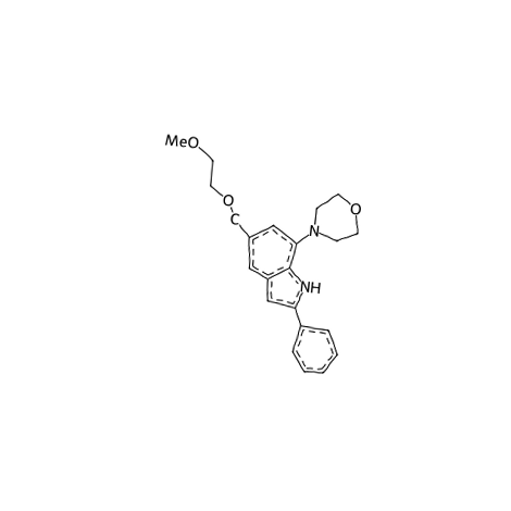 COCCOCc1cc(N2CCOCC2)c2[nH]c(-c3ccccc3)cc2c1